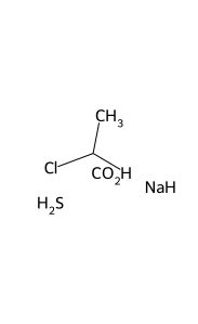 CC(Cl)C(=O)O.S.[NaH]